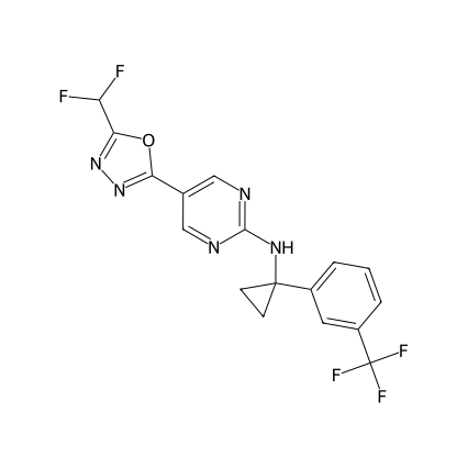 FC(F)c1nnc(-c2cnc(NC3(c4cccc(C(F)(F)F)c4)CC3)nc2)o1